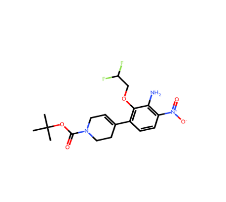 CC(C)(C)OC(=O)N1CC=C(c2ccc([N+](=O)[O-])c(N)c2OCC(F)F)CC1